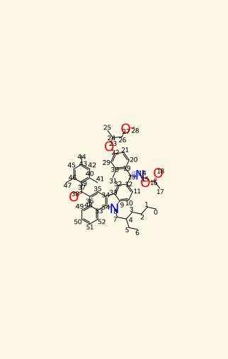 CCCCC(CC)Cn1c2ccc(/C(=N\OC(C)=O)c3ccc(OC(C)COC)cc3C)cc2c2cc(C(=O)c3c(C)cc(C)cc3C)c3ccccc3c21